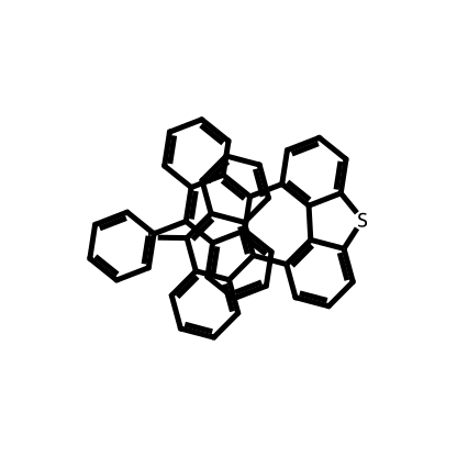 Fc1c2ccccc2c(-c2cccc3sc4cccc(-c5c6ccccc6c(-c6ccccc6)c6ccccc56)c4c23)c2ccccc12